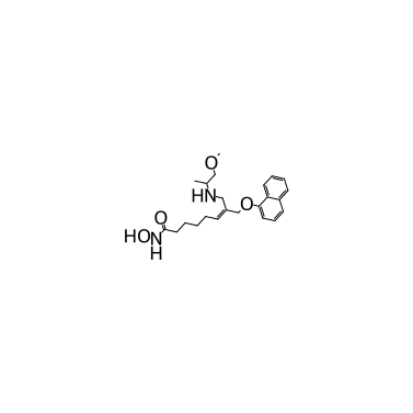 COCC(C)NC/C(=C\CCCCC(=O)NO)COc1cccc2ccccc12